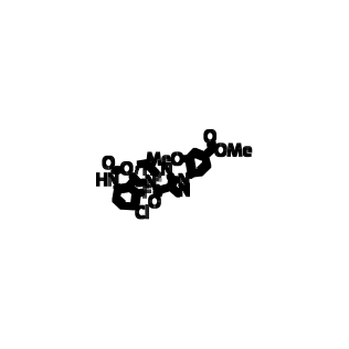 COC(=O)c1ccc(-n2ncc(C(=O)N3CCC[C@@]4(C3)OC(=O)Nc3ccc(Cl)c(F)c34)c2N)c(OC)c1